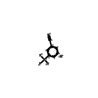 N#Cc1cccc([B-](F)(F)F)c1.[K+]